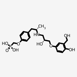 C[C@@H](Cc1ccc(OCP(=O)(O)O)cc1)NC[C@@H](O)COc1ccc(O)c(CO)c1